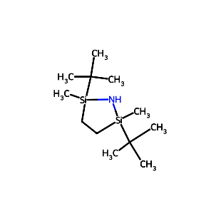 CC(C)(C)[Si]1(C)CC[Si](C)(C(C)(C)C)N1